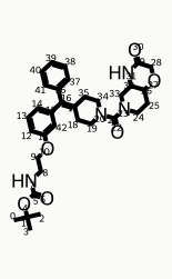 CC(C)(C)OC(=O)NCCOc1cccc(C(=C2CCN(C(=O)N3CCC4OCC(=O)NC4C3)CC2)c2ccccc2)c1